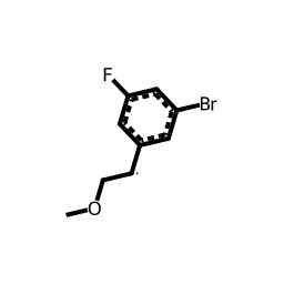 COC[CH]c1cc(F)cc(Br)c1